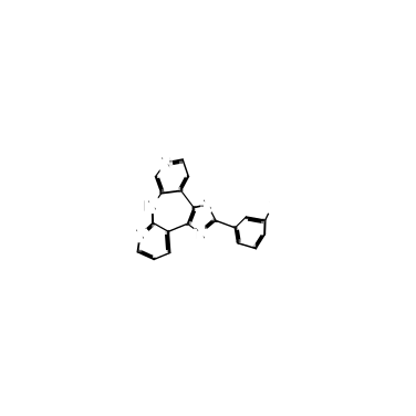 Clc1cccc(-c2nc3c([nH]2)-c2ccncc2Nc2ncccc2-3)c1